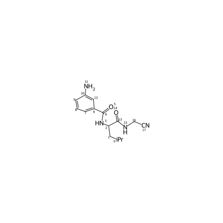 CC(C)CC(NC(=O)c1cccc(N)c1)C(=O)NCC#N